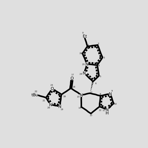 CCc1ccc2cc([C@@H]3c4nc[nH]c4CCN3C(=O)c3nnc(C(C)(C)C)o3)nn2c1